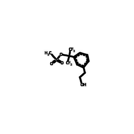 CS(=O)(=O)OC(c1cccc(CCO)c1)(C(F)(F)F)C(F)(F)F